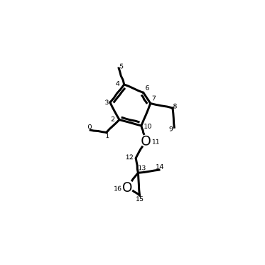 CCc1cc(C)cc(CC)c1OCC1(C)CO1